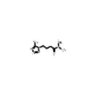 Cc1nnnn1CCCC(=O)N(C)C